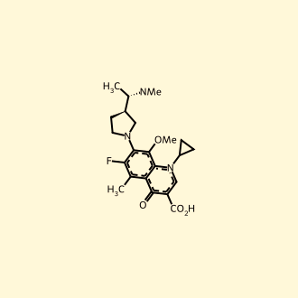 CN[C@@H](C)[C@@H]1CCN(c2c(F)c(C)c3c(=O)c(C(=O)O)cn(C4CC4)c3c2OC)C1